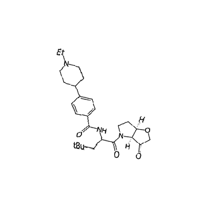 CCN1CCC(c2ccc(C(=O)NC(CC(C)(C)C)C(=O)N3CC[C@H]4OCC(=O)[C@H]43)cc2)CC1